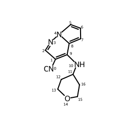 [C-]#[N+]c1cnn2cccc2c1NC1CCOCC1